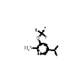 CC(C)c1cnc(N)c(OC(F)(F)F)c1